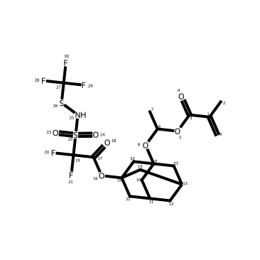 C=C(C)C(=O)OC(C)OC12CC3CC(CC(OC(=O)C(F)(F)S(=O)(=O)NSC(F)(F)F)(C3)C1)C2